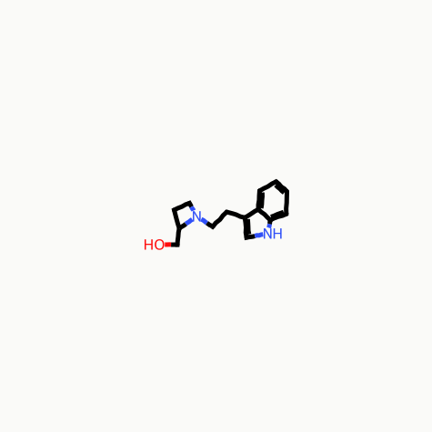 OCC1CCN1CCc1c[nH]c2ccccc12